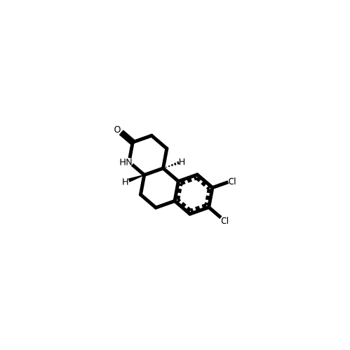 O=C1CC[C@H]2c3cc(Cl)c(Cl)cc3CC[C@@H]2N1